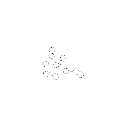 c1ccc(-c2cccc3c2oc2c(N(c4ccc(-c5ccc6ccccc6c5)cc4)c4ccc(-c5ccc6ccccc6c5)c5c4sc4ccccc45)cccc23)cc1